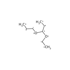 C[CH]OC(CC)OCCC